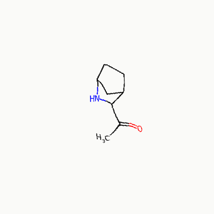 CC(=O)C1NC2CCC1C2